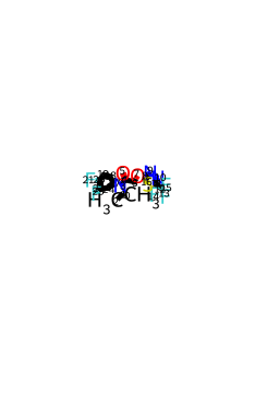 CC(C)N(C(=O)COc1nnc(C(F)(F)F)s1)c1ccc(F)c(F)c1